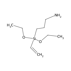 C=C[Si](CCCN)(OCC)OCC